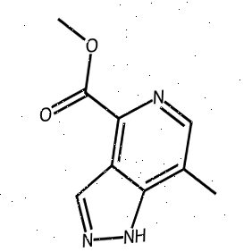 COC(=O)c1ncc(C)c2[nH]ncc12